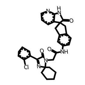 O=C(CN1C(=O)C(c2ccccc2Cl)=NC12CCCCC2)Nc1ccc2c(c1)CC1(C2)C(=O)Nc2ncccc21